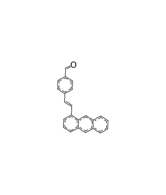 O=Cc1ccc(C=Cc2cccc3cc4ccccc4cc23)cc1